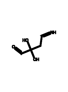 N=[C]CC(O)(O)[C]=O